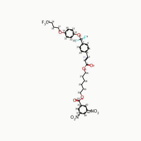 O=C(/C=C/c1ccc(C(F)(F)Oc2ccc(OCCCC(F)(F)F)cc2)cc1)OCCCCCCOC(=O)c1cc([N+](=O)[O-])cc([N+](=O)[O-])c1